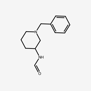 O=CNC1CCCN(Cc2ccccc2)C1